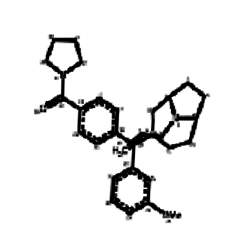 C=CCN1C2CCC1CN(C(c1ccc(C(=O)N3CCCC3)cc1)c1cccc(OC)c1)CC2